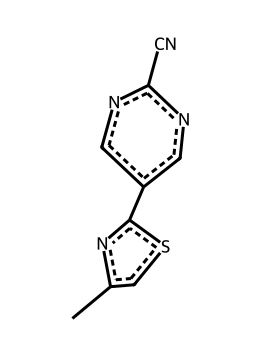 Cc1csc(-c2cnc(C#N)nc2)n1